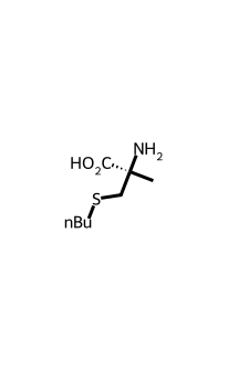 CCCCSC[C@](C)(N)C(=O)O